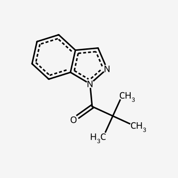 CC(C)(C)C(=O)n1ncc2ccccc21